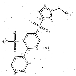 CS(=O)(=O)c1cc(S(=O)(=O)c2ccc(CN)s2)ccc1-c1ccccc1.Cl